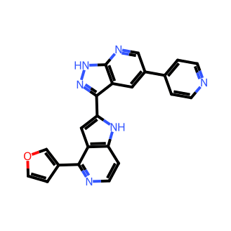 c1cc(-c2cnc3[nH]nc(-c4cc5c(-c6ccoc6)nccc5[nH]4)c3c2)ccn1